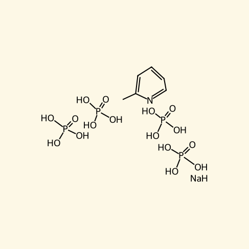 Cc1ccccn1.O=P(O)(O)O.O=P(O)(O)O.O=P(O)(O)O.O=P(O)(O)O.[NaH]